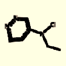 CCN(Cl)c1ccnnc1